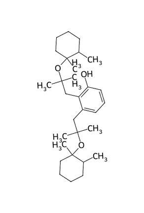 CC1CCCCC1(C)OC(C)(C)Cc1cccc(O)c1CC(C)(C)OC1(C)CCCCC1C